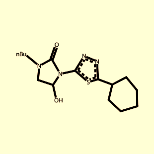 CCCCN1CC(O)N(c2nnc(C3CCCCC3)s2)C1=O